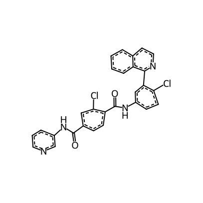 O=C(Nc1cccnc1)c1ccc(C(=O)Nc2ccc(Cl)c(-c3nccc4ccccc34)c2)c(Cl)c1